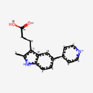 Cc1[nH]c2ccc(-c3ccncc3)cc2c1CCC(=O)O